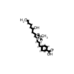 C=CCCCC(O)CCCN(CCCc1ccc(C(=O)O)cc1)S(C)(=O)=O